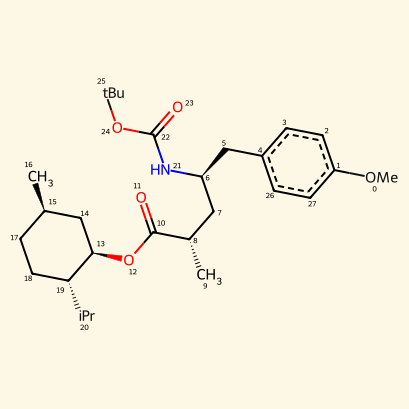 COc1ccc(C[C@@H](C[C@H](C)C(=O)O[C@@H]2C[C@H](C)CC[C@H]2C(C)C)NC(=O)OC(C)(C)C)cc1